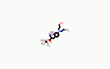 CCCN(CCCO)c1ccc(/C=C(\C#N)C(=O)OC(C)(C)C)c(OC)c1